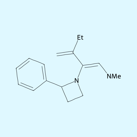 C=C(CC)/C(=C/NC)N1CCC1c1ccccc1